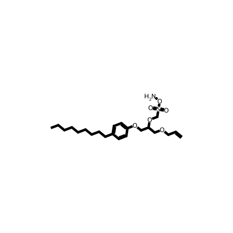 C=CCOCC(COc1ccc(CCCCCCCCC)cc1)OCS(=O)(=O)ON